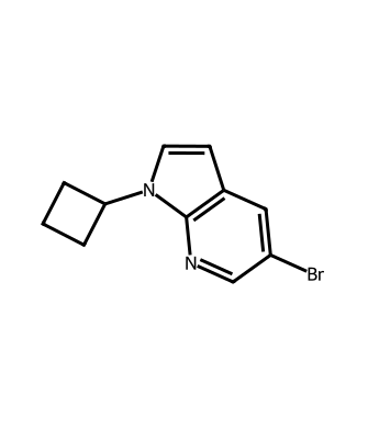 Brc1cnc2c(ccn2C2CCC2)c1